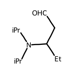 CCC(CC=O)N(C(C)C)C(C)C